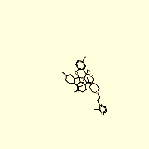 Cc1nccn1CCN1CCC2(CC1)CO[C@H]1c3cc(F)ccc3OC(C3CC(C)CCC3C(C)C)(C3CC(C)CCC3C(C)C)[C@@H]1C2